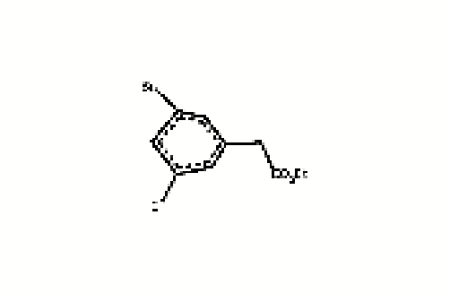 CCOC(=O)Cc1cc(Cl)cc(Br)c1